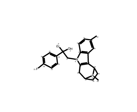 CCC(O)(Cn1c2c(c3cc(C)ccc31)C1CCC(C2)N1C)c1ccc(F)cc1